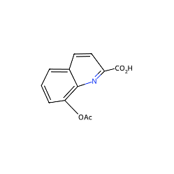 CC(=O)Oc1cccc2ccc(C(=O)O)nc12